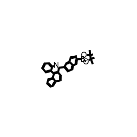 CC1(C)OB(c2ccc3cc(-c4nc5ccccc5c5c4ccc4ccccc45)ccc3c2)OC1(C)C